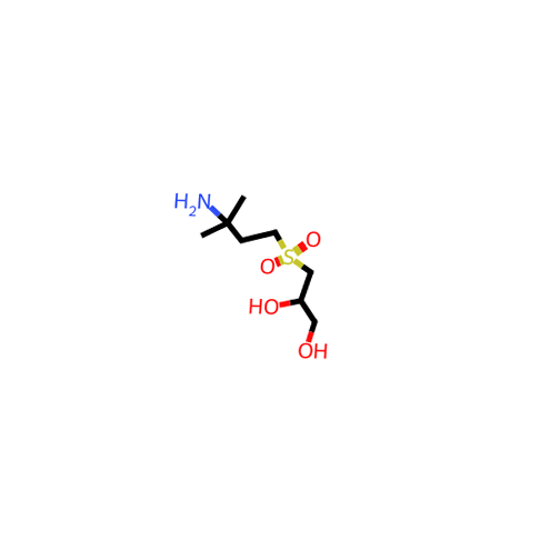 CC(C)(N)CCS(=O)(=O)CC(O)CO